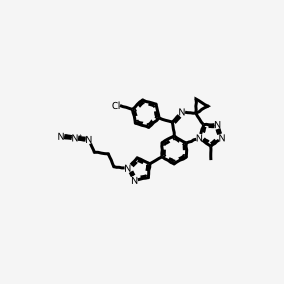 Cc1nnc2n1-c1ccc(-c3cnn(CCCN=[N+]=[N-])c3)cc1C(c1ccc(Cl)cc1)=NC21CC1